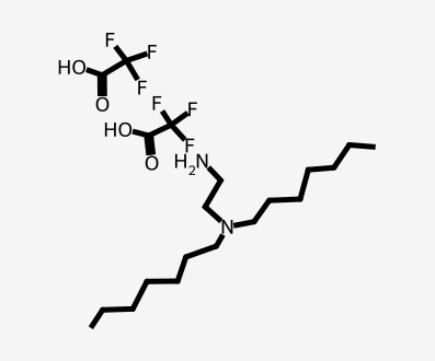 CCCCCCCN(CCN)CCCCCCC.O=C(O)C(F)(F)F.O=C(O)C(F)(F)F